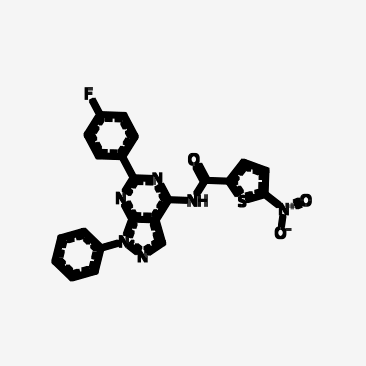 O=C(Nc1nc(-c2ccc(F)cc2)nc2c1cnn2-c1ccccc1)c1ccc([N+](=O)[O-])s1